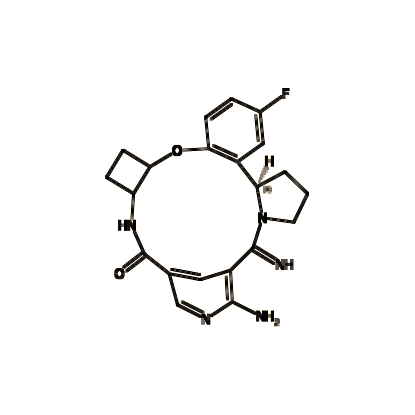 N=C1c2cc(cnc2N)C(=O)NC2CCC2Oc2ccc(F)cc2[C@H]2CCCN12